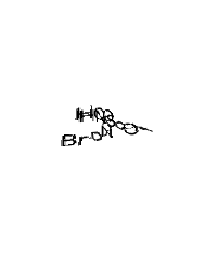 CC#CCOc1ccc(SC2(C(=O)NO)CCN(Cc3ccc(Br)cc3)CC2)cc1